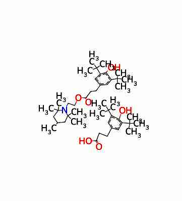 CC(C)(C)c1cc(CCC(=O)O)cc(C(C)(C)C)c1O.CC1CC(C)(C)N(CCOC(=O)CCc2cc(C(C)(C)C)c(O)c(C(C)(C)C)c2)C(C)(C)C1